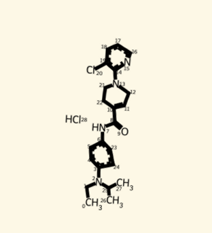 CCN(c1ccc(NC(=O)C2=CCN(c3ncccc3Cl)CC2)cc1)C(C)C.Cl